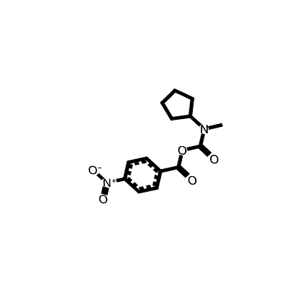 CN(C(=O)OC(=O)c1ccc([N+](=O)[O-])cc1)C1CCCC1